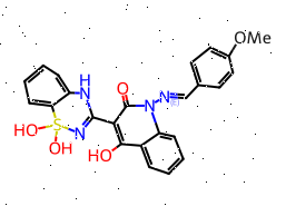 COc1ccc(/C=N/n2c(=O)c(C3=NS(O)(O)c4ccccc4N3)c(O)c3ccccc32)cc1